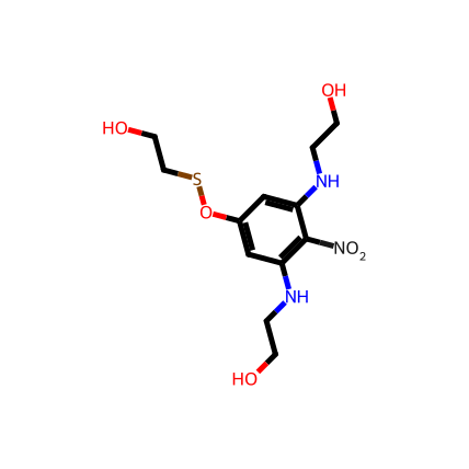 O=[N+]([O-])c1c(NCCO)cc(OSCCO)cc1NCCO